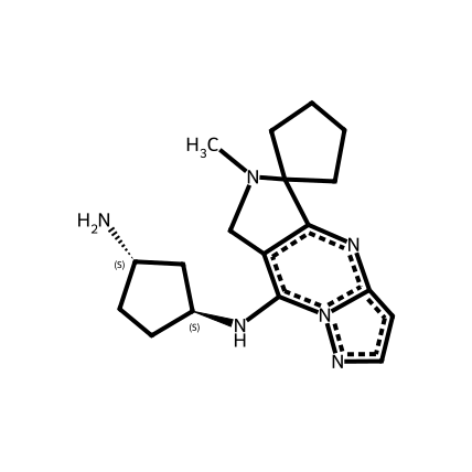 CN1Cc2c(nc3ccnn3c2N[C@H]2CC[C@H](N)C2)C12CCCC2